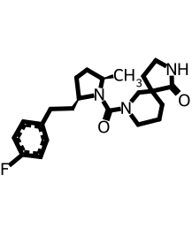 C[C@@H]1CC[C@H](CCc2ccc(F)cc2)N1C(=O)N1CCCC2(CCNC2=O)C1